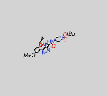 COc1ccc(OCC2CC2)c(-c2ncnc3c(C(=O)NC4CCN(C(=O)OC(C)(C)C)CC4)c[nH]c23)c1